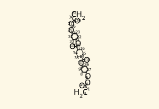 C=CC(=O)OCOc1ccc(OC(=O)C2CCC(C(=O)Oc3ccc(OCOC(=O)C=C)cc3)CC2)cc1